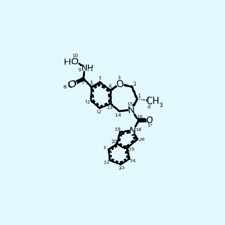 C[C@H]1COc2cc(C(=O)NO)ccc2CN1C(=O)n1cc2ccccc2c1